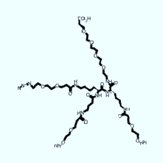 CCCOCCOCCC(=O)NCCCC[C@H](NC(=O)[C@H](CCCCNC(=O)CCOCCOCCN=[N+]=[N-])NC(=O)CCCNC(=O)CCOCCOCCC)C(=O)NCCOCCOCCOCCOCCC(=O)O